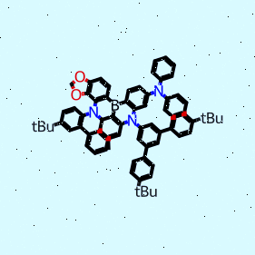 CC1=CC2=C3B(c4ccc(N(c5ccccc5)c5ccccc5)cc4N2c2cc(-c4ccc(C(C)(C)C)cc4)cc(-c4ccc(C(C)(C)C)cc4)c2)c2ccc4c(c2N(c2ccc(C(C)(C)C)cc2-c2ccccc2)C3C1)OCO4